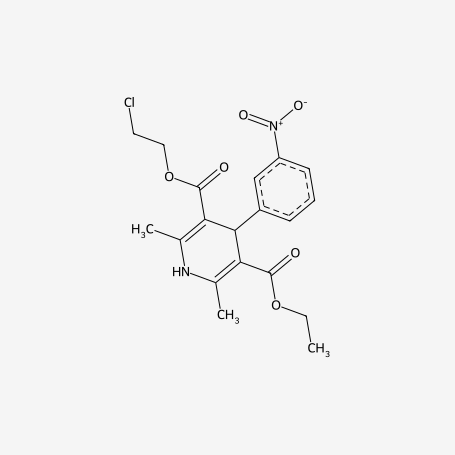 CCOC(=O)C1=C(C)NC(C)=C(C(=O)OCCCl)C1c1cccc([N+](=O)[O-])c1